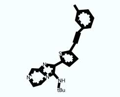 Cc1cccc(C#Cc2ccc(-c3nc4cnccn4c3NC(C)(C)C)s2)c1